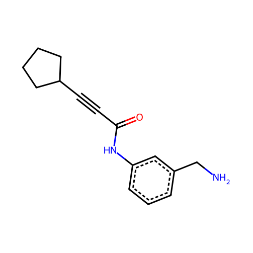 NCc1cccc(NC(=O)C#CC2CCCC2)c1